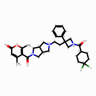 Cc1cc(=O)oc(C)c1C(=O)N1CC2CN(CCC3(c4ccccc4)CN(C(=O)C4CCC(F)(F)CC4)C3)CC2C1